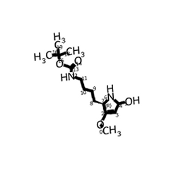 COC1=CC(O)N[C@@H]1CCCCNC(=O)OC(C)(C)C